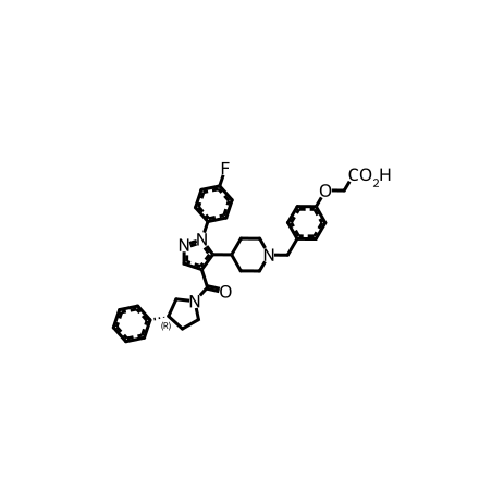 O=C(O)COc1ccc(CN2CCC(c3c(C(=O)N4CC[C@H](c5ccccc5)C4)cnn3-c3ccc(F)cc3)CC2)cc1